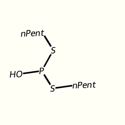 CCCCCSP(O)SCCCCC